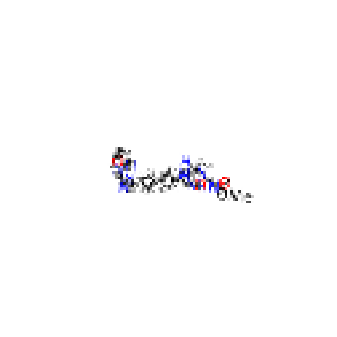 COC(=O)NCC(=O)N1CCC[C@H]1c1ncc(-c2ccc(-c3ccc(-c4cnc(CN(C)CC5(C)CCCO5)[nH]4)cc3)cc2)[nH]1